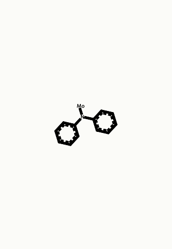 [Mo][N](c1ccccc1)c1ccccc1